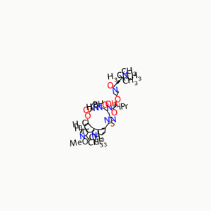 B=[N+]1[C@H]2CCCN1C(=O)C(N(O)C(=O)[C@@H](COC1CN(C(=O)C#CC(C)(C)N(C)C)C1)C(C)C)Cc1nsc(n1)-c1ccc3c(c1)c(c(-c1cccnc1C(C)(C)OC)n3CC(F)(F)F)CC(C)(C)COC2=O